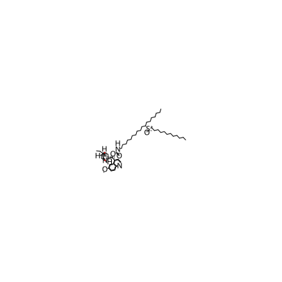 CCCCCCCCCCCC[S+]([O-])C(CCCCCCC)CCCCCCCCCCNC(=O)O[C@H](c1ccnc2ccc(OC)cc12)[C@@H]1C[C@@H]2CCN1C[C@@H]2CC